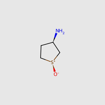 N[C@@H]1CC[S@+]([O-])C1